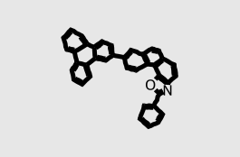 c1ccc(-c2nc3ccc4ccc5cc(-c6ccc7c8ccccc8c8ccccc8c7c6)ccc5c4c3o2)cc1